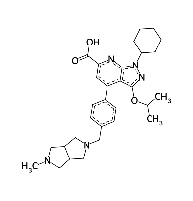 CC(C)Oc1nn(C2CCCCC2)c2nc(C(=O)O)cc(-c3ccc(CN4CC5CN(C)CC5C4)cc3)c12